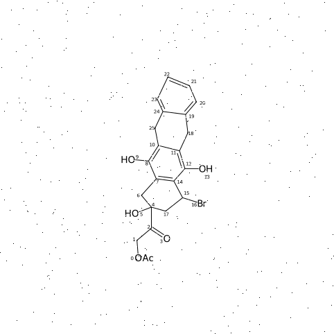 CC(=O)OCC(=O)C1(O)Cc2c(O)c3c(c(O)c2C(Br)C1)Cc1ccccc1C3